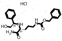 Cl.NC(=O)[C@@H](CCCNC(=O)OCc1ccccc1)N[C@@H](CO)c1ccccc1